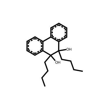 CCCCC1(O)c2ccccc2-c2ccccc2C1(O)CCCC